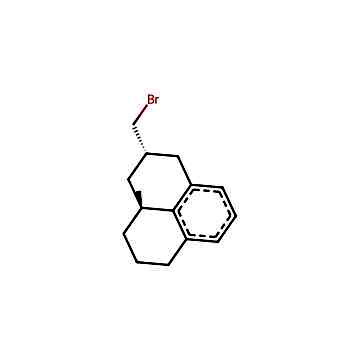 C[C@]12CCCc3cccc(c31)C[C@@H](CBr)C2